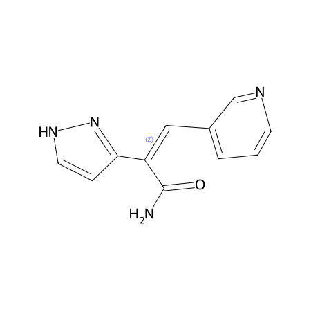 NC(=O)/C(=C\c1cccnc1)c1cc[nH]n1